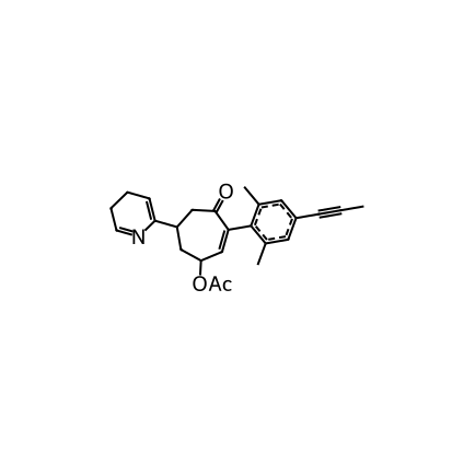 CC#Cc1cc(C)c(C2=CC(OC(C)=O)CC(C3=CCCC=N3)CC2=O)c(C)c1